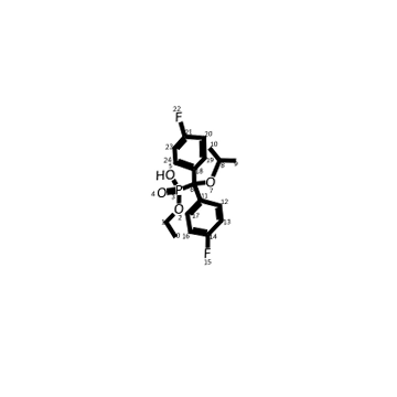 CCOP(=O)(O)C(OC(C)C)(c1ccc(F)cc1)c1ccc(F)cc1